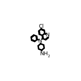 NC1CCC(N(c2ccccc2)c2ccnc3cc(Cl)ccc23)CC1